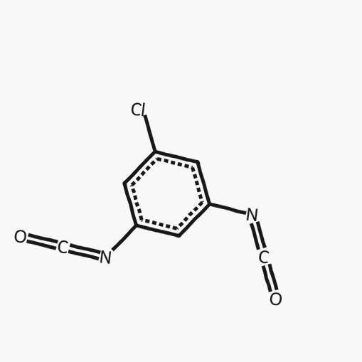 O=C=Nc1cc(Cl)cc(N=C=O)c1